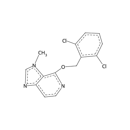 Cn1cnc2ccnc(OCc3c(Cl)cccc3Cl)c21